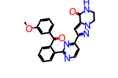 COc1cccc(C(=O)c2ccccc2-c2nccc(-c3cc4n(n3)CCNC4=O)n2)c1